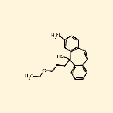 CCOCCCC1(O)c2ccccc2C=Cc2ccc(N)cc21